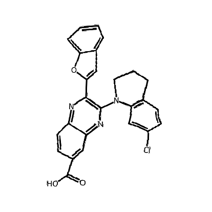 O=C(O)c1ccc2nc(-c3cc4ccccc4o3)c(N3CCCc4ccc(Cl)cc43)nc2c1